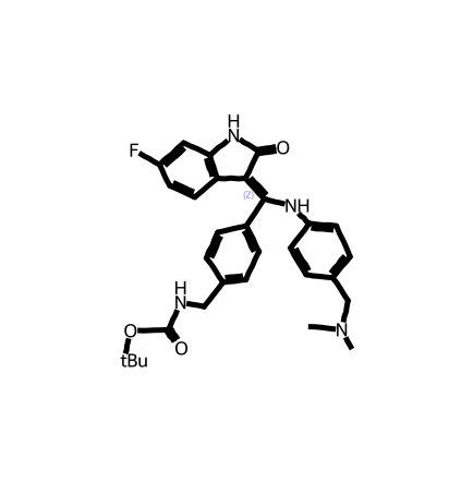 CN(C)Cc1ccc(N/C(=C2\C(=O)Nc3cc(F)ccc32)c2ccc(CNC(=O)OC(C)(C)C)cc2)cc1